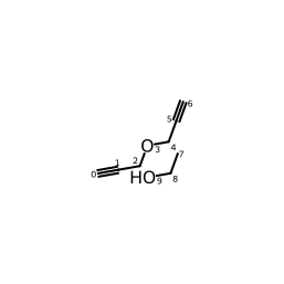 C#CCOCC#C.CCO